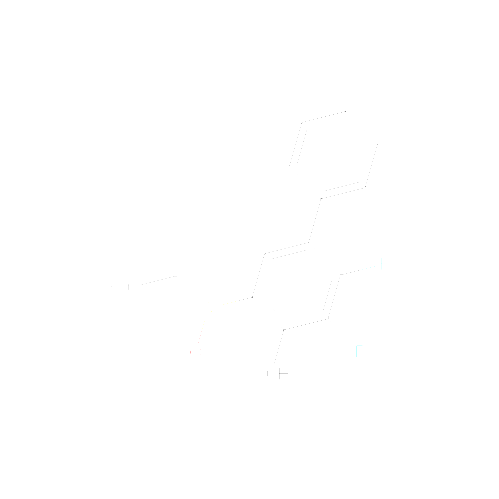 Cc1c([S+]([O-])CC(F)(F)F)cc(-c2ccccc2)c(F)c1F